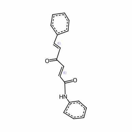 O=C(/C=C/C(=O)Nc1ccccc1)/C=C/c1ccccc1